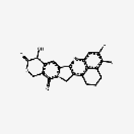 O=C1OCc2c(cc3n(c2=O)Cc2c-3nc3cc(F)c(Cl)c4c3c2CCC4)C1O